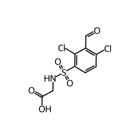 O=Cc1c(Cl)ccc(S(=O)(=O)NCC(=O)O)c1Cl